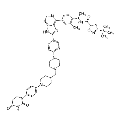 Cc1cc(-c2ncnc3[nH]c(-c4ccc(N5CCN(CC6CCN(c7ccc(N8CCC(=O)NC8=O)cc7)CC6)CC5)nc4)nc23)ccc1C(C)NC(=O)c1nc(C(C)(C)C)no1